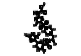 COC(=O)Nc1nc(C)c(S(=O)(=O)N2CCN(CC(C)NC(=O)c3cc(-c4sc(C)nc4C)ccc3F)CC2)s1